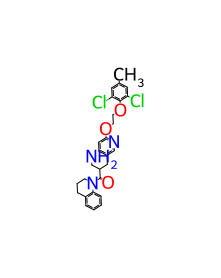 Cc1cc(Cl)c(OCCOc2ccc(CC(CN)C(=O)N3CCCc4ccccc43)cn2)c(Cl)c1